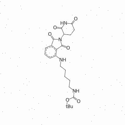 CC(C)(C)OC(=O)NCCCCCNc1cccc2c1C(=O)N(C1CCC(=O)NC1=O)C2=O